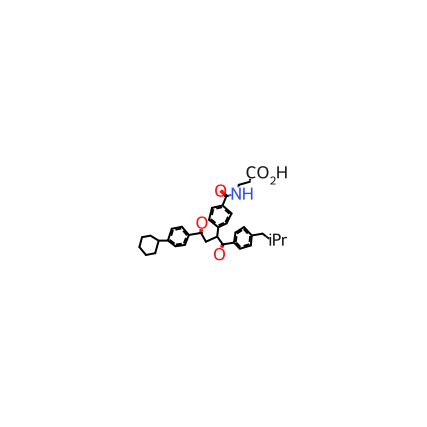 CC(C)Cc1ccc(C(=O)C(CC(=O)c2ccc(C3CCCCC3)cc2)c2ccc(C(=O)NCCC(=O)O)cc2)cc1